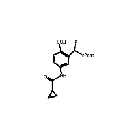 CCCCCC(CC)c1cc(NC(=O)C2CC2)ccc1C(=O)O